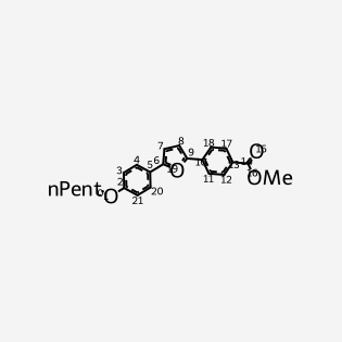 CCCCCOc1ccc(-c2ccc(-c3ccc(C(=O)OC)cc3)o2)cc1